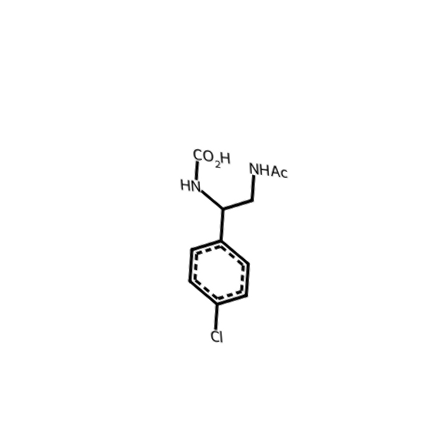 CC(=O)NCC(NC(=O)O)c1ccc(Cl)cc1